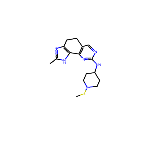 CSN1CCC(Nc2ncc3c(n2)-c2[nH]c(C)nc2CC3)CC1